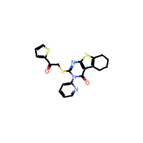 O=C(CSc1nc2sc3c(c2c(=O)n1-c1ccccn1)CCCC3)c1cccs1